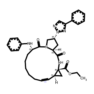 CCOC(=O)[C@@]12C[C@H]1/C=C\CCCCC[C@H](Nc1ccccc1)C(=O)N1C[C@H](n3ncc(-c4ccccc4)n3)C[C@H]1C(=O)N2